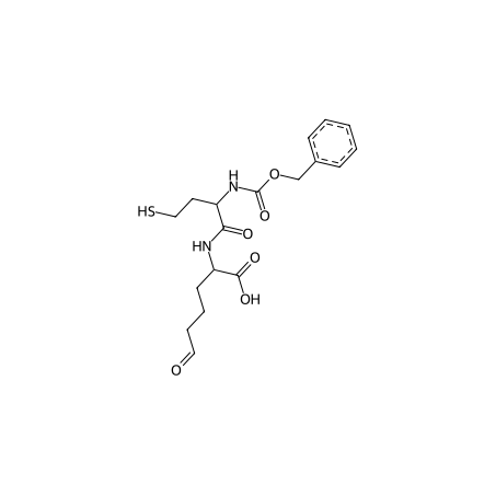 O=CCCCC(NC(=O)C(CCS)NC(=O)OCc1ccccc1)C(=O)O